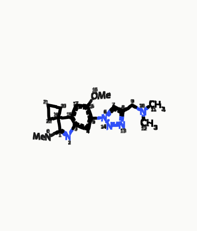 CNC1=Nc2cc(-n3cc(CN(C)C)nn3)c(OC)cc2C12CCC2